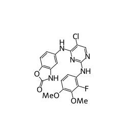 COc1ccc(Nc2ncc(Cl)c(Nc3ccc4oc(=O)[nH]c4c3)n2)c(F)c1OC